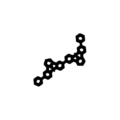 c1ccc(-c2ccc3c(c2)c2cccc4c5cc(-c6ccc7c(c6)c6cccc8c9ccc(-c%10ccccc%10)cc9n7c68)ccc5n3c24)cc1